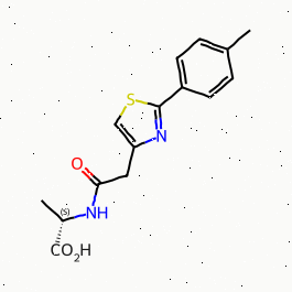 Cc1ccc(-c2nc(CC(=O)N[C@@H](C)C(=O)O)cs2)cc1